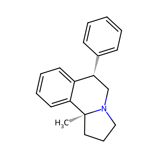 C[C@@]12CCCN1C[C@@H](c1ccccc1)c1ccccc12